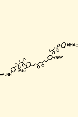 COc1cc(/C=C/C(=O)CC(=O)/C=C/c2ccc(OC(=O)C(C)C(=O)Oc3ccc(NC(C)=O)cc3)c(OC)c2)ccc1OC(=O)C(C)C(=O)Oc1ccc(NC(C)=O)cc1